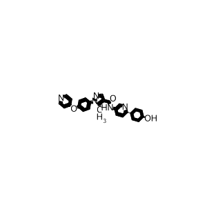 Cc1c(C(=O)Nc2ccc([C@H]3CC[C@H](O)CC3)nc2)cnn1-c1ccc(Oc2ccncc2)cc1